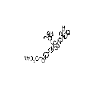 C=Cc1cc(C[C@@H](OC(=O)N2CCC(N3CCc4ccccc4NC3=O)CC2)C(=O)N2CCC(C3CCN(C(=O)CCC(=O)OCC)CC3)CC2)cc(C)c1O